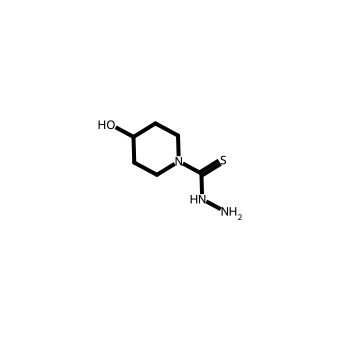 NNC(=S)N1CCC(O)CC1